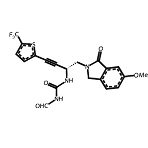 COc1ccc2c(c1)C(=O)N(C[C@@H](C#Cc1ccc(C(F)(F)F)s1)NC(=O)NC=O)C2